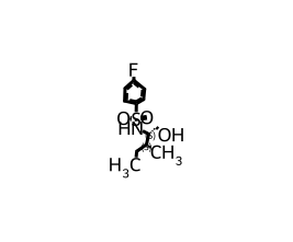 CC[C@H](C)[C@@H](CO)NS(=O)(=O)c1ccc(F)cc1